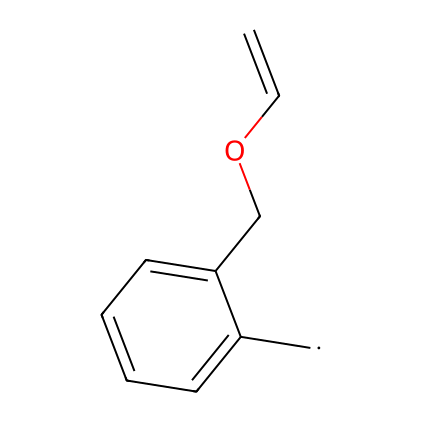 [CH2]c1ccccc1COC=C